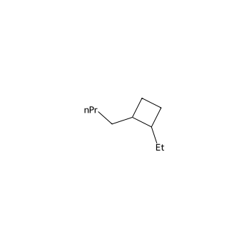 CCCCC1CCC1CC